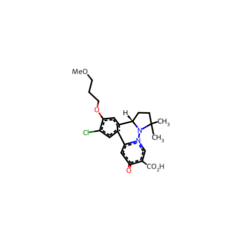 COCCCOc1cc2c(cc1Cl)-c1cc(=O)c(C(=O)O)cn1N1[C@H]2CCC1(C)C